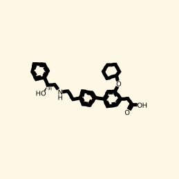 O=C(O)Cc1ccc(-c2ccc(CCNC[C@H](O)c3ccccc3)cc2)cc1OC1CCCCC1